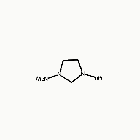 CCCN1CCN(NC)C1